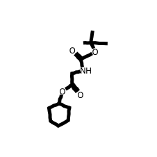 CC(C)(C)OC(=O)NCC(=O)OC1CCCCC1